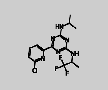 CC(C)Nc1nc(NC(C)C(F)(F)F)nc(-c2cccc(Cl)n2)n1